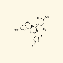 CC(C)(C)c1cc(N)n(-c2nc(N/C(N)=C\C(N)C(C)(C)C)nc(-n3nc(C(C)(C)C)cc3N)n2)n1